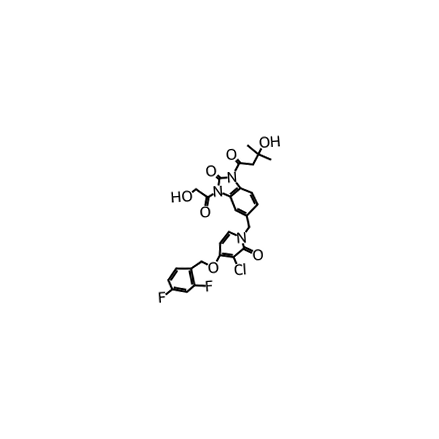 CC(C)(O)CC(=O)n1c(=O)n(C(=O)CO)c2cc(Cn3ccc(OCc4ccc(F)cc4F)c(Cl)c3=O)ccc21